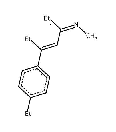 CCC(/C=C(\CC)c1ccc(CC)cc1)=N/C